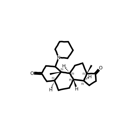 C[C@]12C(N3CCCCC3)CC(=O)C[C@@H]1CC[C@@H]1[C@@H]2CC[C@]2(C)C(=O)CC[C@@H]12